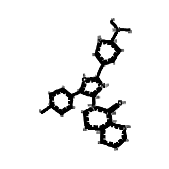 Cc1ccc(-c2oc(-c3ccc(N(C)C)nc3)nc2-n2ccc3cccnc3c2=O)cc1